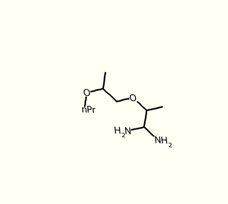 CCCOC(C)COC(C)C(N)N